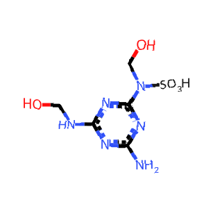 Nc1nc(NCO)nc(N(CO)S(=O)(=O)O)n1